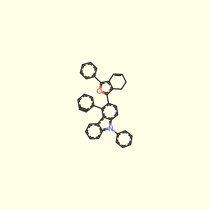 c1cccc(-c2c(-c3oc(-c4ccccc4)c4c3CCC=C4)ccc3c2c2ccccc2n3-c2ccccc2)c#1